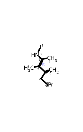 C=C(CC(C)C)/C(C)=C(\C)NI